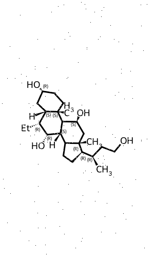 CC[C@H]1[C@@H](O)[C@H]2C3CC[C@H]([C@H](C)CCO)[C@@]3(C)C[C@H](O)C2[C@@]2(C)CC[C@@H](O)C[C@@H]12